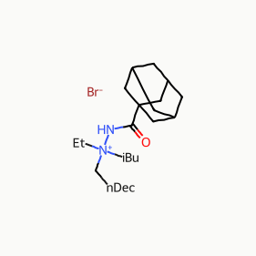 CCCCCCCCCCC[N+](CC)(NC(=O)C12CC3CC(CC(C3)C1)C2)C(C)CC.[Br-]